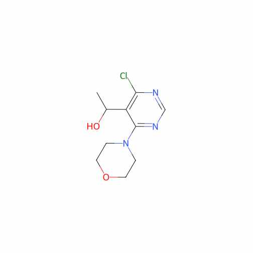 CC(O)c1c(Cl)ncnc1N1CCOCC1